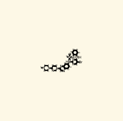 CN1CCN(C2=NCN(c3cnc4ccc(Nc5ncc(Br)c(Nc6ccccc6NS(C)(=O)=O)n5)cc4n3)C=C2)CC1